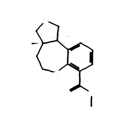 COC(=O)c1cccc2c1NCC[C@@H]1CNC[C@@H]21